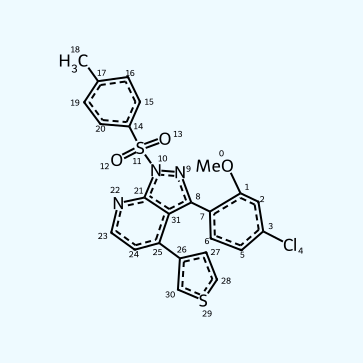 COc1cc(Cl)ccc1-c1nn(S(=O)(=O)c2ccc(C)cc2)c2nccc(-c3ccsc3)c12